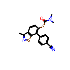 Cc1nsc2c(-c3ccc(C#N)cc3)c(SC(=O)N(C)C)ccc12